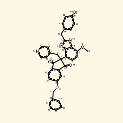 COc1ccc(C2(Cc3ccncc3)C(=O)c3ccc(OCc4ccccc4)cc3C2=O)c2[nH]c(Cc3ccc(Br)cc3)nc12